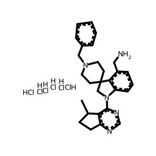 CC1CCc2ncnc(N3CC4(CCN(Cc5ccccc5)CC4)c4c(CN)cccc43)c21.Cl.Cl.Cl.Cl.Cl.Cl